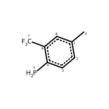 Cc1ccc(P)c(C(F)(F)F)c1